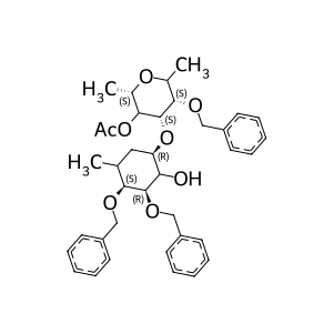 CC(=O)OC1[C@H](C)OC(C)[C@H](OCc2ccccc2)[C@@H]1O[C@@H]1CC(C)[C@H](OCc2ccccc2)[C@H](OCc2ccccc2)C1O